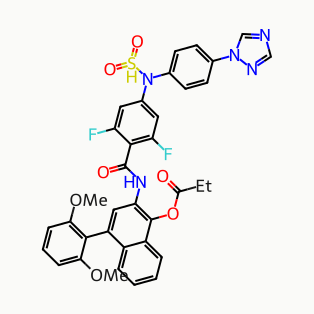 CCC(=O)Oc1c(NC(=O)c2c(F)cc(N(c3ccc(-n4cncn4)cc3)[SH](=O)=O)cc2F)cc(-c2c(OC)cccc2OC)c2ccccc12